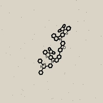 c1ccc(-c2cc(-c3cccc(-n4c5cc6c(cc5c5c7cc(-c8ccc9c(c8)oc8ccc(-n%10c%11cc%12c(cc%11c%11c%13ccccc%13ccc%11%10)C%10(c%11ccccc%11S%12)c%11ccccc%11-c%11ccccc%11%10)cc89)ccc7ccc54)C4(c5ccccc5S6)c5ccccc5-c5ccccc54)c3)nc(-c3ccccc3)n2)cc1